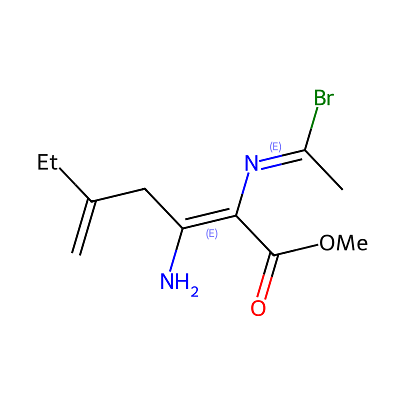 C=C(CC)C/C(N)=C(\N=C(/C)Br)C(=O)OC